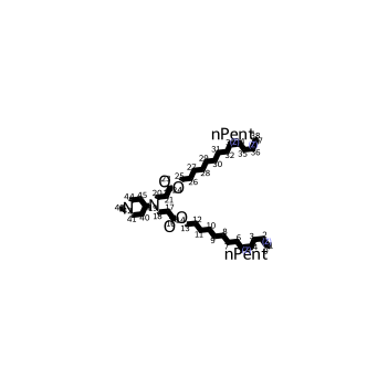 CCCCC/C=C\C/C=C\CCCCCCCCOC(=O)CCN(CCC(=O)OCCCCCCCC/C=C\C/C=C\CCCCC)C1CCN(C)CC1